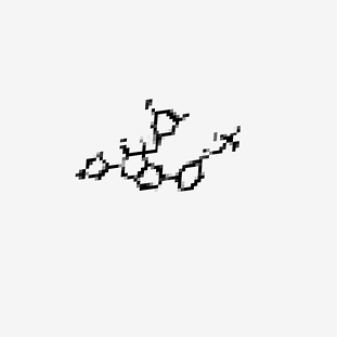 CC1(Cc2cc(F)cc(F)c2)C(=O)N(c2c[nH]cn2)Cc2ccc(-c3cccc(OCC(F)(F)F)c3)cc21